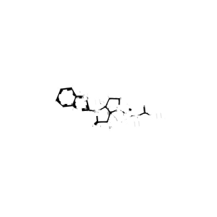 CC(C)NS(=O)(=O)N1CC[C@H]2[C@H]1[C@H](C)C(=O)N2c1nc2ccccc2s1